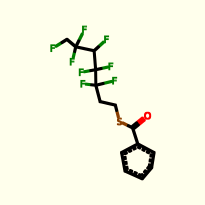 O=C(SCCC(F)(F)C(F)(F)C(F)C(F)(F)CF)c1ccccc1